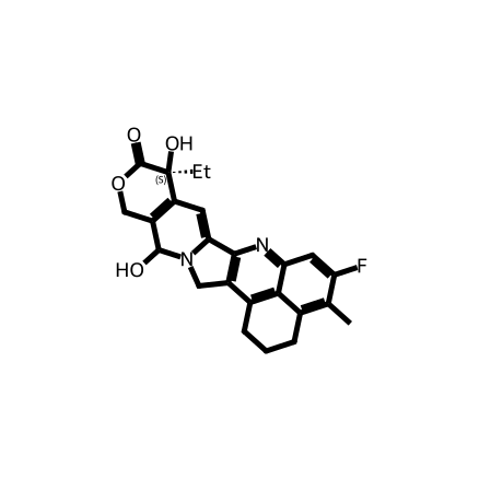 CC[C@@]1(O)C(=O)OCC2=C1C=C1c3nc4cc(F)c(C)c5c4c(c3CN1C2O)CCC5